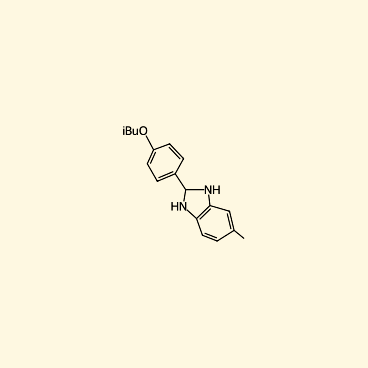 Cc1ccc2c(c1)NC(c1ccc(OCC(C)C)cc1)N2